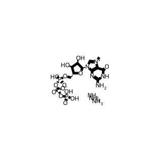 C[n+]1cn([C@@H]2O[C@H](COP(=O)(O)OP(=O)([O-])OP(=O)(O)O)[C@@H](O)[C@H]2O)c2nc(N)[nH]c(=O)c21.N.N.N